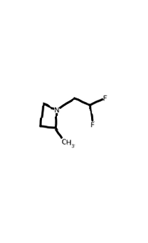 CC1CCN1CC(F)F